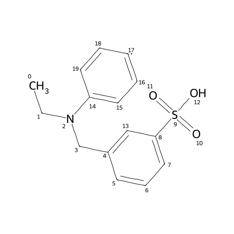 CCN(Cc1cccc(S(=O)(=O)O)c1)c1cc[c]cc1